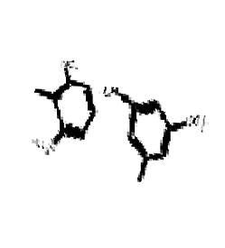 Cc1c([N+](=O)[O-])cccc1S(=O)(=O)O.Cc1cc([N+](=O)[O-])cc(S(=O)(=O)O)c1